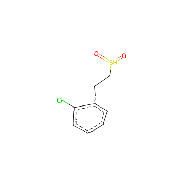 O=[SH](=O)CCc1ccccc1Cl